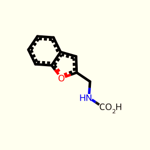 O=C(O)NCc1cc2ccccc2o1